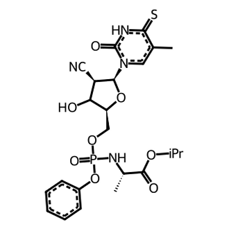 Cc1cn([C@H]2O[C@@H](COP(=O)(N[C@@H](C)C(=O)OC(C)C)Oc3ccccc3)C(O)[C@H]2C#N)c(=O)[nH]c1=S